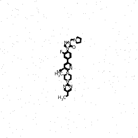 CCc1cnc(N2CCN(c3ncc(-c4ccc(-n5cnn(CN6CCCC6)c5=O)c(F)c4)cc3C#N)[C@@H](C)C2)nc1